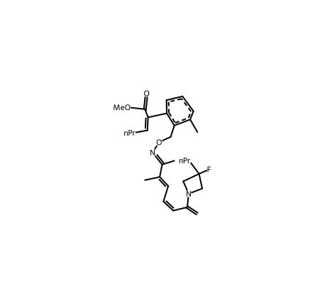 C=C(\C=C/C=C(C)/C(C)=N/OCc1c(C)cccc1/C(=C/CCC)C(=O)OC)N1CC(F)(CCC)C1